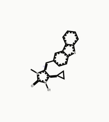 CCn1c(=C2CC2)/c(=C\c2ccc3sc4ccccc4c3c2)n(C)c1=O